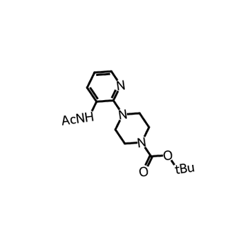 CC(=O)Nc1cccnc1N1CCN(C(=O)OC(C)(C)C)CC1